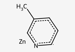 Cc1cc[c]nc1.[Zn]